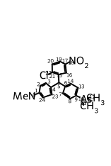 CNc1ccc(C(c2ccc([As](C)C)cc2)c2cc([N+](=O)[O-])ccc2Cl)cc1